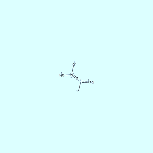 C[CH]=[Ag].O=[N+]([O-])O